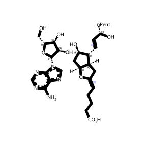 CCCCC[C@H](O)/C=C/[C@@H]1[C@H]2C/C(=C/CCCC(=O)O)O[C@H]2C[C@H]1O.Nc1ncnc2c1ncn2[C@@H]1O[C@H](CO)[C@@H](O)[C@H]1O